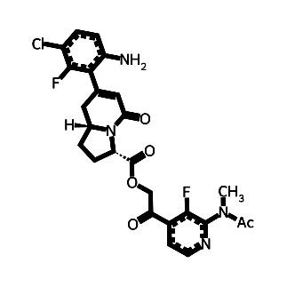 CC(=O)N(C)c1nccc(C(=O)COC(=O)[C@@H]2CC[C@@H]3CC(c4c(N)ccc(Cl)c4F)=CC(=O)N32)c1F